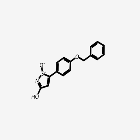 [O-][s+]1nc(O)cc1-c1ccc(OCc2ccccc2)cc1